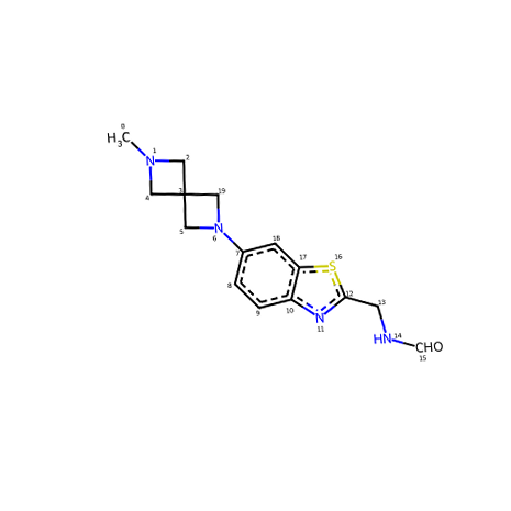 CN1CC2(C1)CN(c1ccc3nc(CNC=O)sc3c1)C2